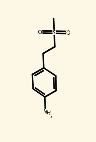 CS(=O)(=O)CCc1ccc(N)cc1